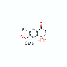 CCc1cc2c(cc1C(=O)OC)S(=O)(=O)CCC2=O